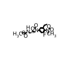 COC(=O)NC[C@H]1CN(c2cc(F)c3c(c2)CCOC(=O)N3C)C(=O)O1